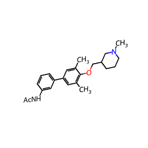 CC(=O)Nc1cccc(-c2cc(C)c(OCC3CCCN(C)C3)c(C)c2)c1